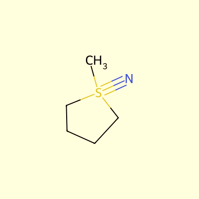 CS1(#N)CCCC1